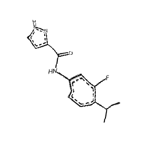 CC(C)c1ccc(NC(=O)c2cc[nH]n2)cc1F